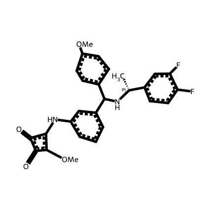 COc1ccc(C(N[C@H](C)c2ccc(F)c(F)c2)c2cccc(Nc3c(OC)c(=O)c3=O)c2)cc1